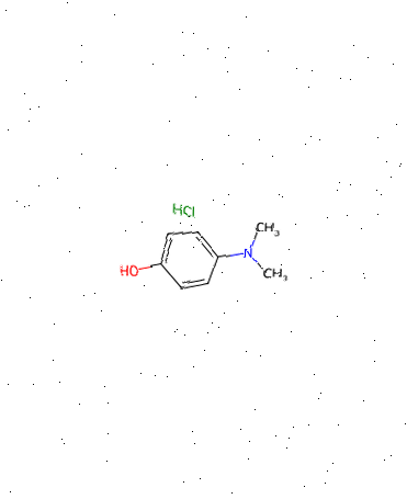 CN(C)c1ccc(O)cc1.Cl